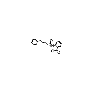 O=C(CCCCc1ccccc1)Nc1ccccc1C(=O)Cl